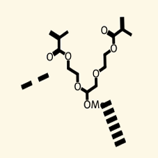 C=C.C=C.C=C.C=C.C=C.C=C.C=C.C=C.C=C(C)C(=O)OCCOCC(OC)OCCOC(=O)C(=C)C